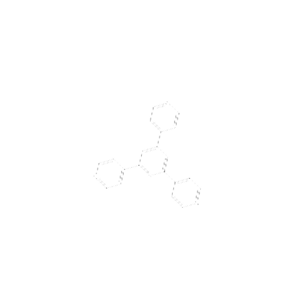 c1cc(-c2cc(-c3ccncc3)nc(-c3ccncc3)c2)ccn1